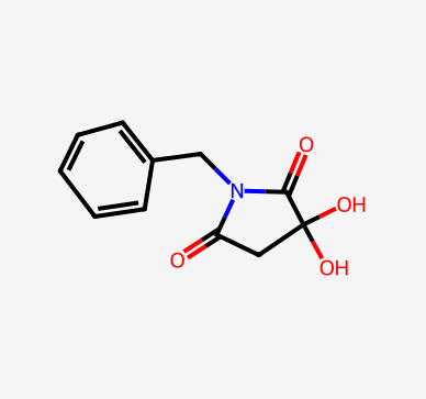 O=C1CC(O)(O)C(=O)N1Cc1ccccc1